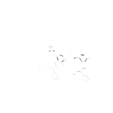 CCCN(C1CCCC1)[C@H]1COc2c(F)ccc(C(=O)O)c2C1.CCCN(C1CCCC1)[C@H]1COc2c(F)ccc(OS(=O)(=O)C(F)(F)F)c2C1